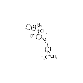 C=C(C)N1CCN(CCOc2ccc3c(c2)C(C)(C)c2oc4ccccc4c2C3=O)CC1